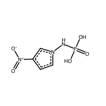 O=[N+]([O-])c1ccn(NP(=O)(O)O)c1